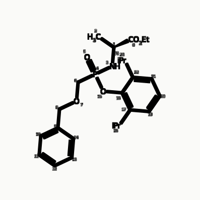 CCOC(=O)[C@H](C)NP(=O)(COCc1ccccc1)Oc1c(C(C)C)cccc1C(C)C